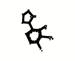 Cc1c(F)ccc(C2CCCN2)c1Cl